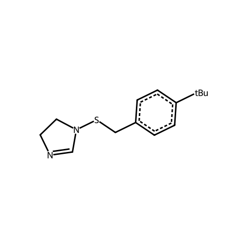 CC(C)(C)c1ccc(CSN2C=NCC2)cc1